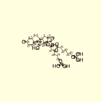 C[C@@H]1CC2C3CCC4=CC(=O)C=C[C@]4(C)[C@@]3(F)[C@@H](O)C[C@]2(C)[C@@]1(OC(=O)CCCCCON(O)O)C(=O)COC(=O)CCCCCON(O)O